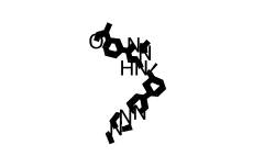 CCN1CCN(c2ccc(-c3cccc([C@H](C)Nc4cc(-c5ccc6occ(C)c6c5)nc(C)n4)c3)cn2)CC1